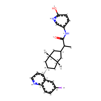 CC(C(=O)Nc1ccc(O)nc1)C1C[C@@H]2C[C@H](c3ccnc4ccc(I)cc34)C[C@@H]2C1